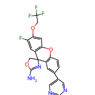 NC1=NC2(CO1)c1cc(-c3cncnc3)ccc1Oc1cc(OCC(F)(F)F)c(F)cc12